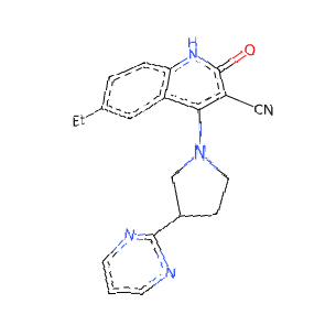 CCc1ccc2[nH]c(=O)c(C#N)c(N3CCC(c4ncccn4)C3)c2c1